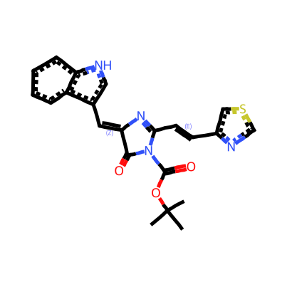 CC(C)(C)OC(=O)N1C(=O)/C(=C/c2c[nH]c3ccccc23)N=C1/C=C/c1cscn1